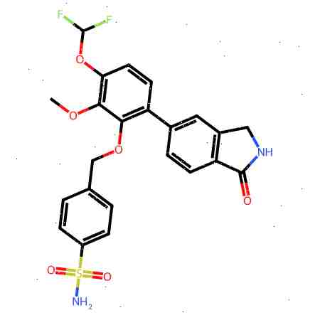 COc1c(OC(F)F)ccc(-c2ccc3c(c2)CNC3=O)c1OCc1ccc(S(N)(=O)=O)cc1